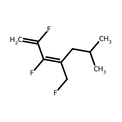 C=C(F)/C(F)=C(/CF)CC(C)C